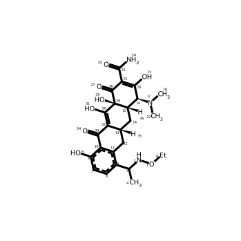 CCONC(C)c1ccc(O)c2c1C[C@H]1C[C@H]3[C@H](N(C)C)C(O)=C(C(N)=O)C(=O)[C@@]3(O)C(O)=C1C2=O